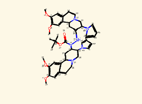 COc1cc2c(cc1OC)C1CC(NN(C(=O)OC(C)(C)C)C3CC4c5cc(OC)c(OC)cc5CCN4CC3n3cccc3)C(n3cccc3)CN1CC2